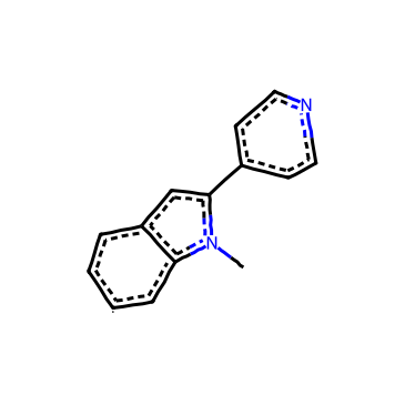 Cn1c(-c2ccncc2)cc2cc[c]cc21